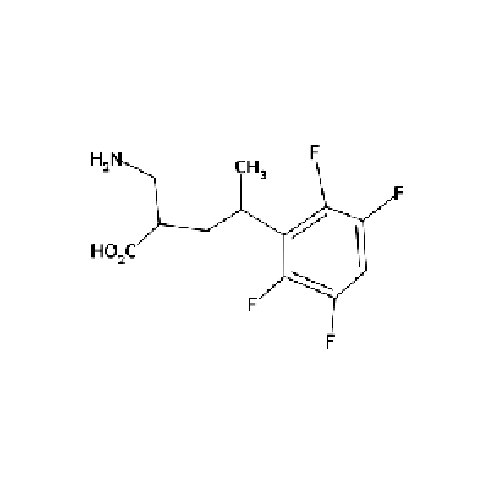 CC(CC(CN)C(=O)O)c1c(F)c(F)cc(F)c1F